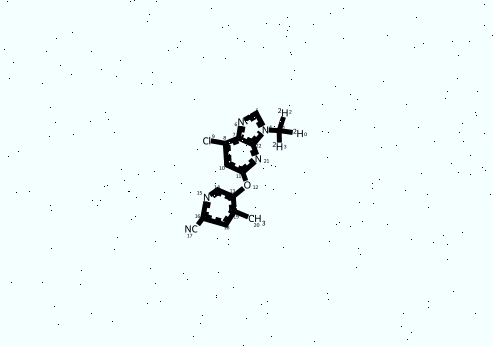 [2H]C([2H])([2H])n1cnc2c(Cl)cc(Oc3cnc(C#N)cc3C)nc21